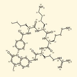 CCCC[C@H](NC(=O)c1ccccc1)C(=O)N[C@@H](CCCCN)C(=O)N[C@@H](CCCCN)C(=O)N[C@@H](CCCNC(=N)N)C(=O)Nc1ccc2c(C)cc(=O)oc2c1